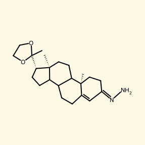 CC1([C@H]2CCC3C4CCC5=C/C(=N/N)CC[C@]5(C)C4CC[C@@]32C)OCCO1